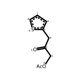 CC(=O)OCC(=O)Cc1cccs1